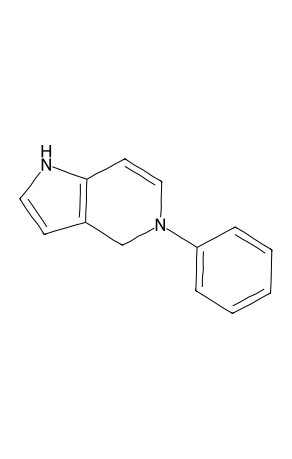 C1=CN(c2ccccc2)Cc2cc[nH]c21